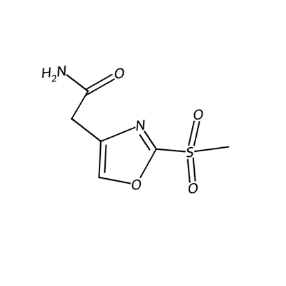 CS(=O)(=O)c1nc(CC(N)=O)co1